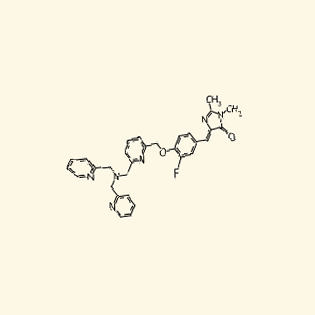 CC1=N/C(=C\c2ccc(OCc3cccc(CN(Cc4ccccn4)Cc4ccccn4)n3)c(F)c2)C(=O)N1C